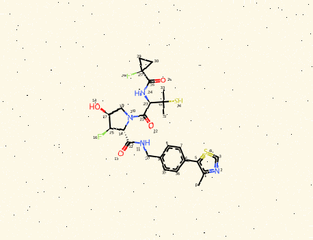 Cc1ncsc1-c1ccc(CNC(=O)[C@@H]2[C@@H](F)[C@@H](O)CN2C(=O)[C@@H](NC(=O)C2(F)CC2)C(C)(C)S)cc1